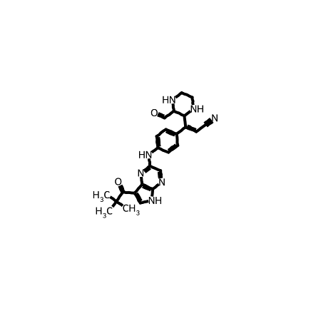 CC(C)(C)C(=O)c1c[nH]c2ncc(Nc3ccc(C(=CC#N)C4NCCNC4C=O)cc3)nc12